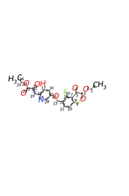 CCOC(=O)C(=O)c1c(F)ccc(COc2ccc(/C=C(\O)C(=O)OCC)nc2)c1F